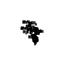 CNC(C)C(=O)NC(C(=O)N1CCC2C1C(c1c[nH]c3cc(F)ccc13)CN2C(C)=O)C(C)OC